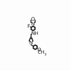 COc1ccc(CN2CC3C(CNc4ccc(N5CCOCC5)c(F)c4)C3C2)cc1